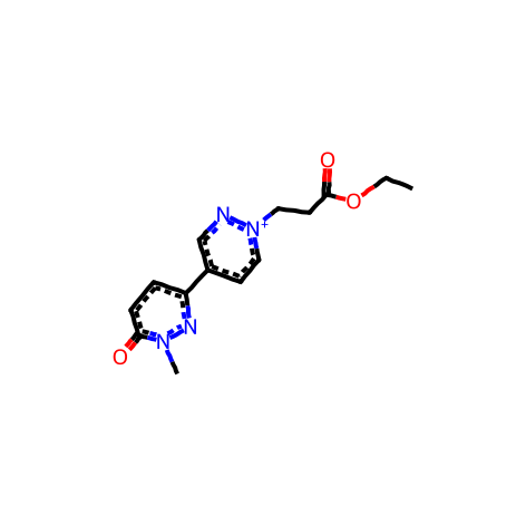 CCOC(=O)CC[n+]1ccc(-c2ccc(=O)n(C)n2)cn1